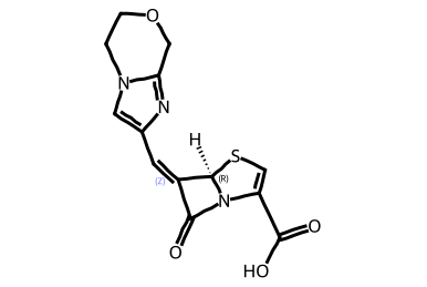 O=C(O)C1=CS[C@@H]2/C(=C\c3cn4c(n3)COCC4)C(=O)N12